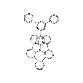 C1=CCC(C2=CC=CC3c4ccccc4-c4cccc(-c5ccccc5)c4N(c4ccc(-c5nc(-c6ccccc6)cc(-c6ccccc6)n5)cn4)C23)C=C1